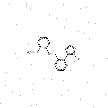 C=Cc1ncccc1OCc1cccnc1-c1ccnn1CCC